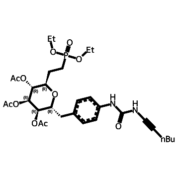 CCCCC#CNC(=O)Nc1ccc(C[C@H]2O[C@H](CCP(=O)(OCC)OCC)[C@@H](OC(C)=O)[C@H](OC(C)=O)[C@@H]2OC(C)=O)cc1